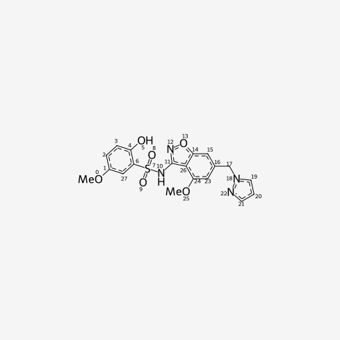 COc1ccc(O)c(S(=O)(=O)Nc2noc3cc(Cn4cccn4)cc(OC)c23)c1